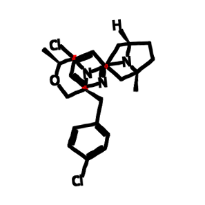 C[C@H]1CN(C2C[C@@H]3CC[C@](C)(C2)N3c2cc(Cl)ccn2)[C@@H](Cc2ccc(Cl)cc2)CO1